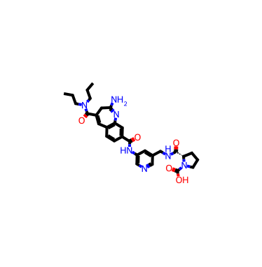 CCCN(CCC)C(=O)C1=Cc2ccc(C(=O)Nc3cncc(CNC(=O)[C@@H]4CCCN4C(=O)O)c3)cc2N=C(N)C1